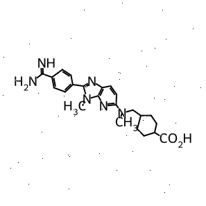 CN(CC1CCC(C(=O)O)CC1)c1ccc2nc(-c3ccc(C(=N)N)cc3)n(C)c2n1